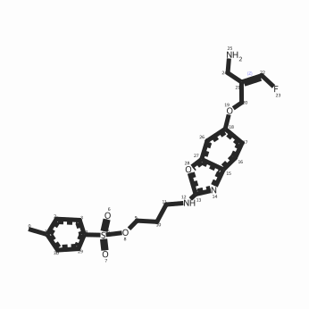 Cc1ccc(S(=O)(=O)OCCCNc2nc3ccc(OC/C(=C\F)CN)cc3o2)cc1